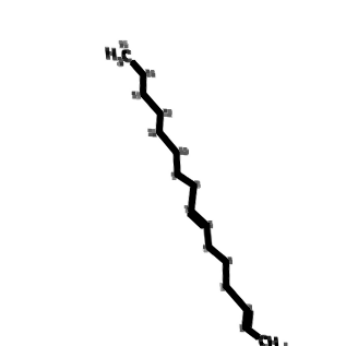 [CH2]C=CCCCC=CCCCCCCCC